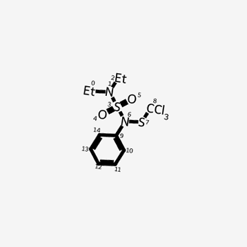 CCN(CC)S(=O)(=O)N(SC(Cl)(Cl)Cl)c1ccccc1